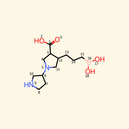 O=C(O)C1CN(C2CCNC2)CC1CCCB(O)O